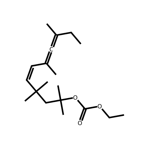 CCOC(=O)OC(C)(C)CC(C)(C)/C=C\C(C)=C=C(C)CC